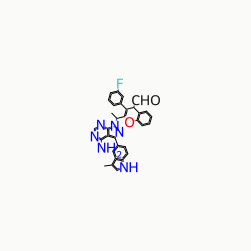 Cc1c[nH]c2ccc(-c3nn(C(C)C4=C(c5cccc(F)c5)C(C=O)c5ccccc5O4)c4ncnc(N)c34)cc12